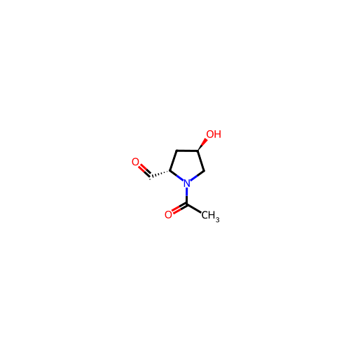 CC(=O)N1C[C@H](O)C[C@H]1[C]=O